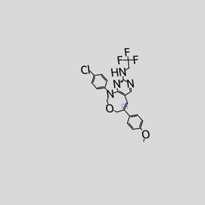 COc1ccc(/C2=C/c3cnc(NCC(F)(F)F)nc3N(c3ccc(Cl)cc3)COC2)cc1